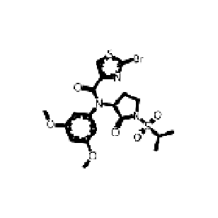 COc1cc(OC)cc(N(C(=O)c2csc(Br)n2)C2CCN(S(=O)(=O)C(C)C)C2=O)c1